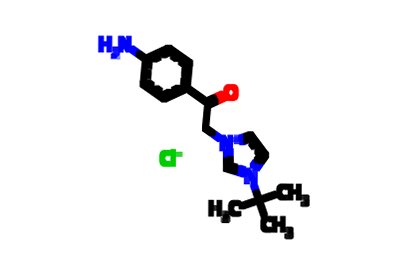 CC(C)(C)n1cc[n+](CC(=O)c2ccc(N)cc2)c1.[Cl-]